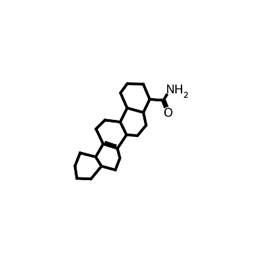 NC(=O)C1CCCC2C1CCC1C3=C(CCC12)C1CCCCC1CC3